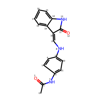 CC(=O)Nc1ccc(NC=C2C(=O)Nc3ccccc32)cc1